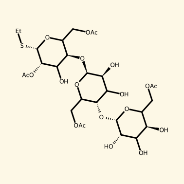 CCS[C@@H]1OC(COC(C)=O)[C@@H](O[C@@H]2OC(COC(C)=O)[C@@H](O[C@@H]3OC(COC(C)=O)[C@@H](O)C(O)[C@@H]3O)C(O)[C@@H]2O)C(O)[C@@H]1OC(C)=O